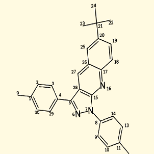 Cc1ccc(-c2nn(-c3ccc(C)cc3)c3nc4ccc(C(C)(C)C)cc4cc23)cc1